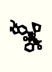 CCn1ncc2cc(NS(=O)(=O)c3ccccc3S(C)(=O)=O)ccc21.c1cc2cc-2c1